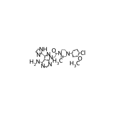 COc1cc(N2CCN(C(=O)Cn3nc(-c4ncc[nH]4)c4c(N)ncnc43)[C@@H](C)C2)ccc1Cl